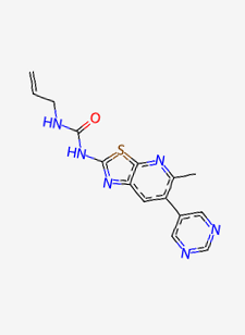 C=CCNC(=O)Nc1nc2cc(-c3cncnc3)c(C)nc2s1